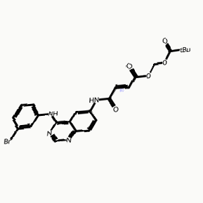 CC(C)(C)C(=O)OCOC(=O)/C=C/C(=O)Nc1ccc2ncnc(Nc3cccc(Br)c3)c2c1